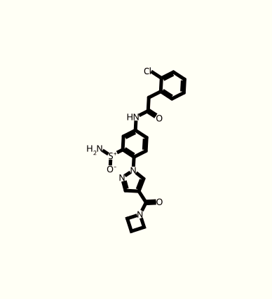 N[S+]([O-])c1cc(NC(=O)Cc2ccccc2Cl)ccc1-n1cc(C(=O)N2CCC2)cn1